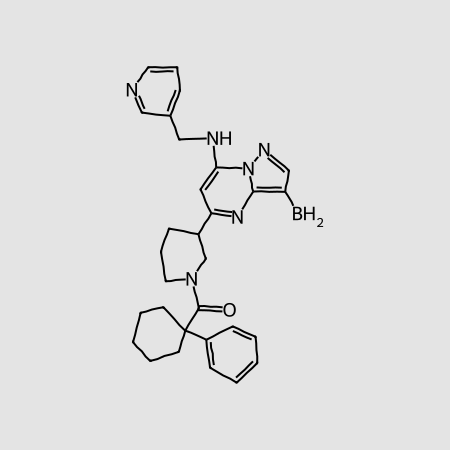 Bc1cnn2c(NCc3cccnc3)cc(C3CCCN(C(=O)C4(c5ccccc5)CCCCC4)C3)nc12